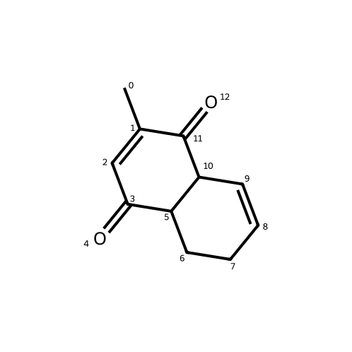 CC1=CC(=O)C2CCC=CC2C1=O